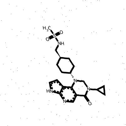 CS(=O)(=O)NC[C@H]1CC[C@H](N2CN(C3CC3)C(=O)c3cnc4[nH]ccc4c32)CC1